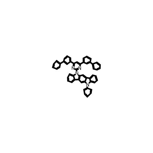 c1ccc(-c2cccc(-c3cc(-c4cccc(-c5ccccc5)c4)nc(-n4c5ccccc5c5cc6c(cc54)c4ccccc4n6-c4ccccc4)n3)c2)cc1